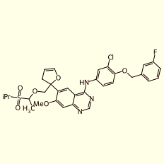 COc1cc2ncnc(Nc3ccc(OCc4cccc(F)c4)c(Cl)c3)c2cc1C1(COC(C)S(=O)(=O)C(C)C)CC=CO1